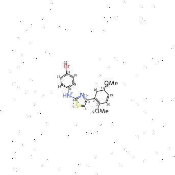 COC1=C(c2csc(Nc3ccc(Br)cc3)n2)CC(OC)C=C1